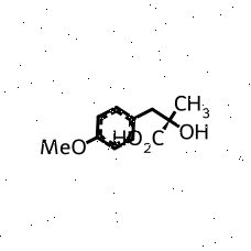 COc1ccc(C[C@](C)(O)C(=O)O)cc1